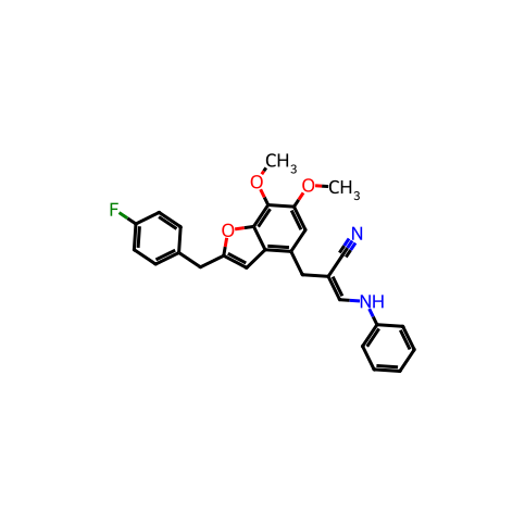 COc1cc(CC(C#N)=CNc2ccccc2)c2cc(Cc3ccc(F)cc3)oc2c1OC